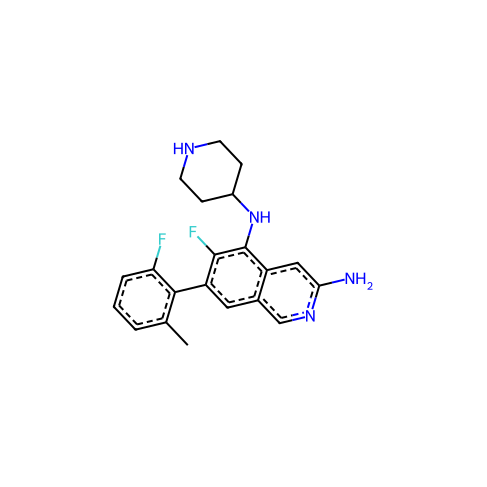 Cc1cccc(F)c1-c1cc2cnc(N)cc2c(NC2CCNCC2)c1F